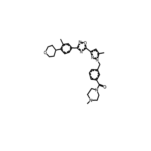 Cc1cc(-c2noc(-c3cc(C)n(Cc4cccc(C(=O)N5CCN(C)CC5)c4)n3)n2)ccc1C1CCOCC1